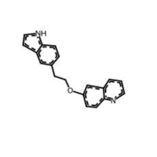 c1cnc2ccc(OCCc3ccc4[nH]ccc4c3)cc2c1